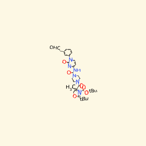 CC(C)(C)OC(=O)N1[C@H](C(C)(C)C)OC[C@@]1(C)C(=O)N1CCN(C(=O)Nc2ccn(-c3cccc(CC=O)c3)c(=O)n2)CC1